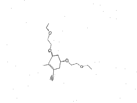 C#CC1=C(C)C(OCCOCC)CC(OCCOCC)C1